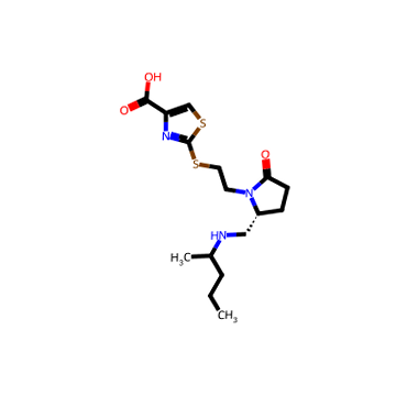 CCCC(C)NC[C@H]1CCC(=O)N1CCSc1nc(C(=O)O)cs1